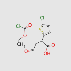 CCOC(=O)Cl.O=CCC(C(=O)O)c1ccc(Cl)s1